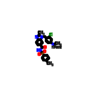 CCCCCN(C)c1ccc(Cn2c(C)nc3ccc(C(=O)NS(=O)(=O)c4ccc(C)cc4)cc32)c(Cl)c1